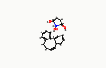 C1#Cc2ccccc2-c2ccccc2CC1.O=C1CCC(=O)N1O